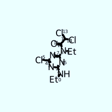 CCNc1nc(Cl)nc(N(CC)C(=O)C(Cl)Cl)n1